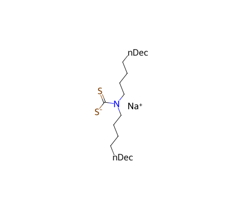 CCCCCCCCCCCCCCN(CCCCCCCCCCCCCC)C(=S)[S-].[Na+]